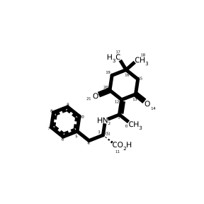 CC(N[C@@H](Cc1ccccc1)C(=O)O)=C1C(=O)CC(C)(C)CC1=O